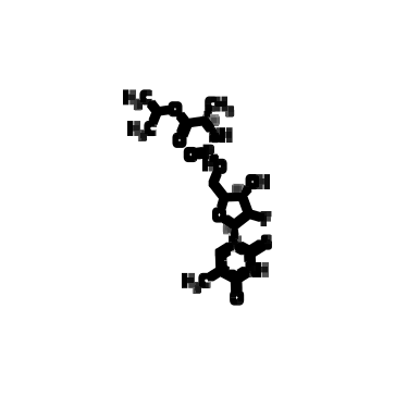 Cc1cn([C@H]2OC(CO[PH](=O)N[C@@H](C)C(=O)OC(C)C)[C@@H](O)C2F)c(=S)[nH]c1=O